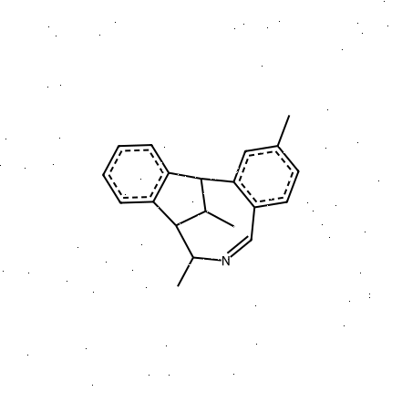 Cc1ccc2c(c1)C1c3ccccc3C(C(C)/N=C\2)C1C